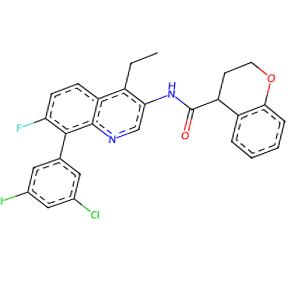 CCc1c(NC(=O)C2CCOc3ccccc32)cnc2c(-c3cc(Cl)cc(Cl)c3)c(F)ccc12